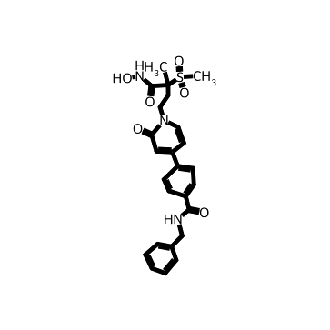 CC(CCn1ccc(-c2ccc(C(=O)NCc3ccccc3)cc2)cc1=O)(C(=O)NO)S(C)(=O)=O